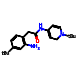 CC(C)(C)c1ccc(CC(=O)NC2=CCN(C(C)(C)C)C=C2)c(N)c1